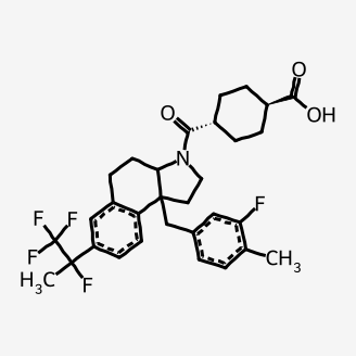 Cc1ccc(CC23CCN(C(=O)[C@H]4CC[C@H](C(=O)O)CC4)C2CCc2cc(C(C)(F)C(F)(F)F)ccc23)cc1F